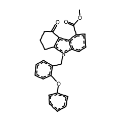 COC(=O)c1cccc2c1c1c(n2Cc2ccccc2Oc2ccccc2)CCCC1=O